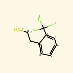 FC(F)(F)c1ccccc1CCS